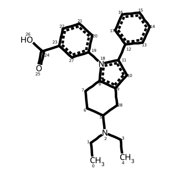 CCN(CC)C1CCc2c(cc(-c3ccccc3)n2-c2cccc(C(=O)O)c2)C1